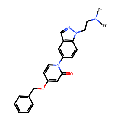 CC(C)N(CCn1ncc2cc(-n3ccc(OCc4ccccc4)cc3=O)ccc21)C(C)C